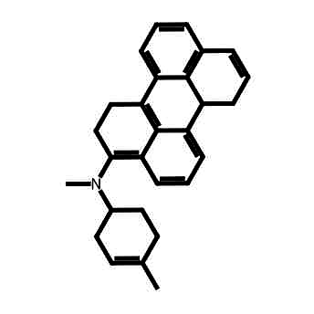 CC1=CCC(N(C)C2=c3cccc4c3=C(CC2)c2cccc3c2C4CC=C3)CC1